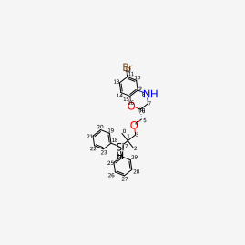 CC(C)(COC[C@H]1CNc2cc(Br)ccc2O1)[SiH](c1ccccc1)c1ccccc1